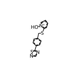 O[n+]1ccccc1SCc1ccc(-c2ncns2)cc1